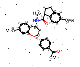 COC(=O)c1ccc([C@H]2C[C@@H](NC(=O)[C@@]3(C)CCc4cc(OC)ccc43)c3ccc(OC)cc3O2)cc1